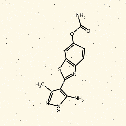 Cc1n[nH]c(N)c1-c1nc2ccc(OC(N)=O)cc2s1